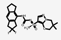 CC1(C)COc2c([S@](N)(=O)=NC(=O)Nc3c4c(cc5c3CC(F)(F)C5)CCC4)cnn2C1